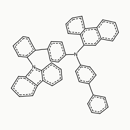 c1ccc(-c2ccc(N(c3ccc(-c4ccccc4-n4c5ccccc5c5ccccc54)cc3)c3cc4ccccc4c4ccccc34)cc2)cc1